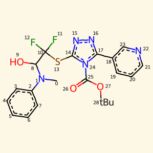 CN(c1ccccc1)C(O)C(F)(F)Sc1nnc(-c2cccnc2)n1C(=O)OC(C)(C)C